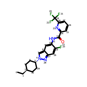 CC[C@H]1CC[C@H](n2cc3cc(NC(=O)c4cccc(C(F)(F)F)n4)c(F)cc3n2)CC1